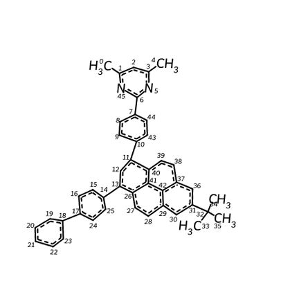 Cc1cc(C)nc(-c2ccc(-c3cc(-c4ccc(-c5ccccc5)cc4)c4ccc5cc(C(C)(C)C)cc6ccc3c4c56)cc2)n1